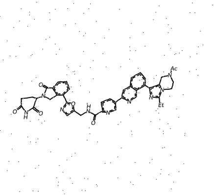 CCc1nc(-c2cccc3cc(-c4ccc(C(=O)NCc5cnc(-c6cccc7c6CN(C6CCC(=O)NC6=O)C7=O)o5)nc4)ncc23)c2n1CCN(C(C)=O)C2